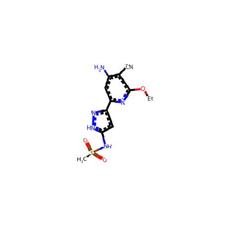 CCOc1nc(-c2cc(NS(C)(=O)=O)[nH]n2)cc(N)c1C#N